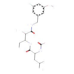 CCC(NC(=O)C(CC(C)C)NC(=O)O)C(O)C(=O)NCc1cc(F)cc(OC)c1